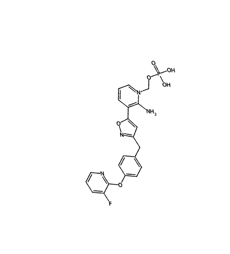 Nc1c(-c2cc(Cc3ccc(Oc4ncccc4F)cc3)no2)ccc[n+]1COP(=O)(O)O